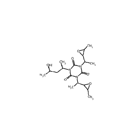 CC(O)CC(C)n1c(=O)n(C(C)C2OC2C)c(=O)n(C(C)C2OC2C)c1=O